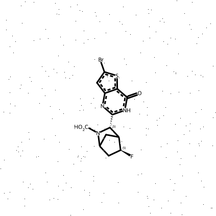 O=C(O)N1C2CC([C@H]1c1nc3cc(Br)sc3c(=O)[nH]1)[C@@H](F)C2